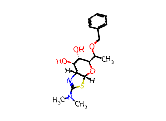 CC(OCc1ccccc1)[C@H]1O[C@@H]2SC(N(C)C)=N[C@@H]2[C@@H](O)[C@@H]1O